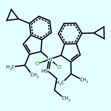 CCC[SiH]=[Hf]([Cl])([Cl])([CH]1C(C(C)C)=Cc2c(C3CC3)cccc21)[CH]1C(C(C)C)=Cc2c(C3CC3)cccc21